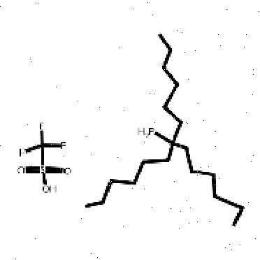 CCCCCCC(P)(CCCCCC)CCCCCC.O=S(=O)(O)C(F)(F)F